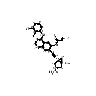 C=CC(=O)Nc1cc2c(Nc3cccc(Cl)c3F)ncnc2cc1C#C[C@]12C[C@H]1CN(C)C2